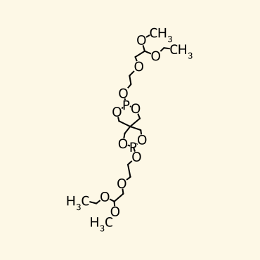 CCOC(COCCOP1OCC2(CO1)COP(OCCOCC(OC)OCC)OC2)OC